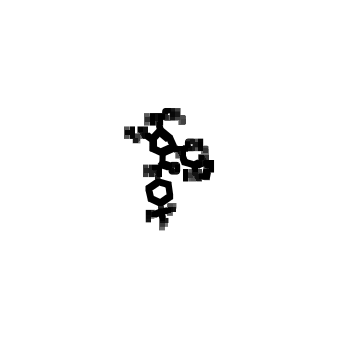 CNc1cc(N(C)Cc2nnc[nH]2)c(C(=O)N[C@H]2CC[C@H](C(F)(F)F)CC2)cc1N